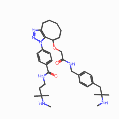 CNC(C)(C)CCNC(=O)c1ccc(-n2nnc3c2C(OCC(=O)NCc2ccc(CC(C)(C)NC)cc2)CCCCC3)cc1